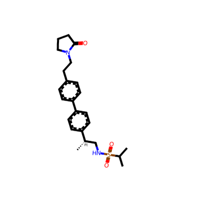 CC(C)S(=O)(=O)NC[C@H](C)c1ccc(-c2ccc(CCN3CCCC3=O)cc2)cc1